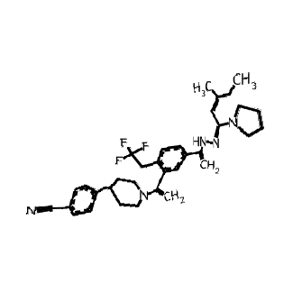 C=C(N/N=C(\C=C(\C)CC)N1CCCC1)c1ccc(CC(F)(F)F)c(C(=C)N2CCC(c3ccc(C#N)cc3)CC2)c1